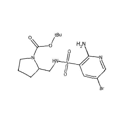 CC(C)(C)OC(=O)N1CCCC1CNS(=O)(=O)c1cc(Br)cnc1N